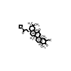 [C-]#[N+]C1=C[C@]2(C)C3=CC(=O)[C@@H]4[C@@H]5CC(C)(C)CC[C@]5(CCC(=O)N5CCC5)CC[C@@]4(C)[C@]3(C)CC[C@H]2[C@H](C)C1=O